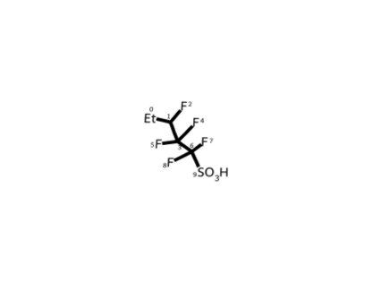 CCC(F)C(F)(F)C(F)(F)S(=O)(=O)O